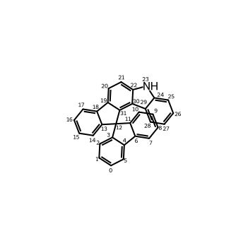 c1ccc2c(c1)-c1ccccc1C21c2ccccc2-c2ccc3[nH]c4ccccc4c3c21